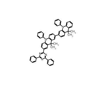 CC1(C)c2ccccc2N(c2ccccc2)c2cc(-c3ccc4c(c3)C(C)(C)c3cc(-c5nc(-c6ccccc6)nc(-c6ccccc6)n5)ccc3N4c3ccccc3)ccc21